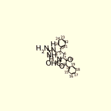 N=C(N)NCC(C[C@H](N)C(=O)C(O[C]=O)c1ccccc1)c1ccccc1